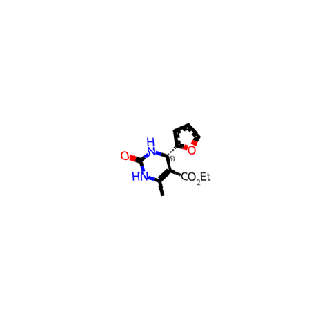 CCOC(=O)C1=C(C)NC(=O)N[C@@H]1c1ccco1